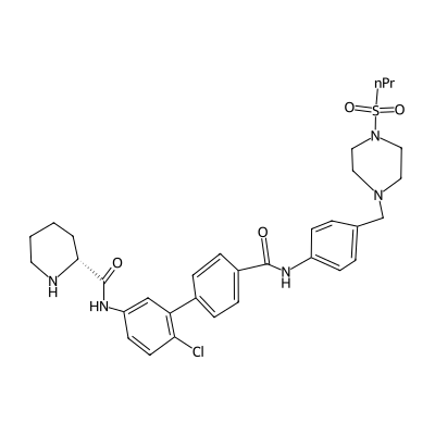 CCCS(=O)(=O)N1CCN(Cc2ccc(NC(=O)c3ccc(-c4cc(NC(=O)[C@H]5CCCCN5)ccc4Cl)cc3)cc2)CC1